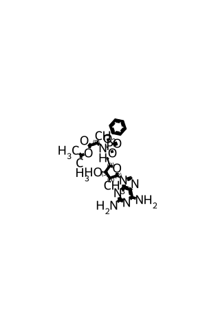 CC(C)OC(=O)[C@@H](C)NP(=O)(OC[C@H]1O[C@@H](n2cnc3c(N)nc(N)nc32)[C@@H](C)[C@@H]1O)Oc1ccccc1